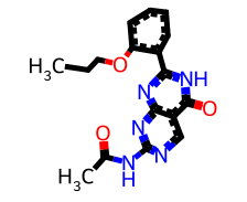 CCCOc1ccccc1-c1nc2nc(NC(C)=O)ncc2c(=O)[nH]1